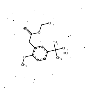 CCOC(=N)Cc1cc(C(C)(C)C)ccc1OC.Cl